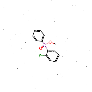 COP(=O)(c1ccccc1)c1ccccc1F